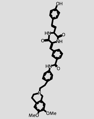 COc1cc2c(cc1OC)CN(CCc1ccc(NC(=O)c3cccc(C=C4NC(=O)C(C=Cc5ccc(O)cc5)NC4=O)c3)cc1)CC2